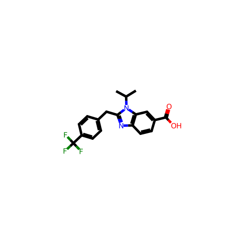 CC(C)n1c(Cc2ccc(C(F)(F)F)cc2)nc2ccc(C(=O)O)cc21